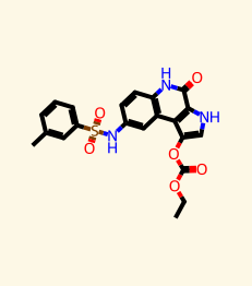 CCOC(=O)Oc1c[nH]c2c(=O)[nH]c3ccc(NS(=O)(=O)c4cccc(C)c4)cc3c12